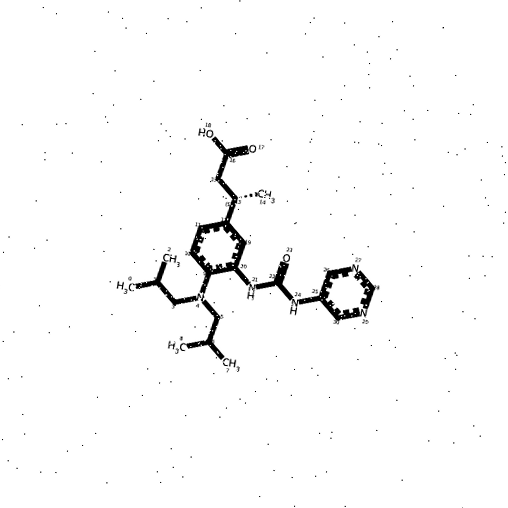 CC(C)CN(CC(C)C)c1ccc([C@@H](C)CC(=O)O)cc1NC(=O)Nc1cncnc1